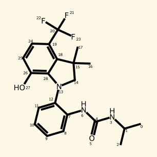 CC(C)NC(=O)Nc1ccccc1N1CC(C)(C)c2c(C(F)(F)F)ccc(O)c21